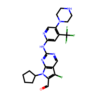 O=Cc1c(F)c2cnc(Nc3cc(C(F)(F)F)c(N4CCNCC4)cn3)nc2n1C1CCCC1